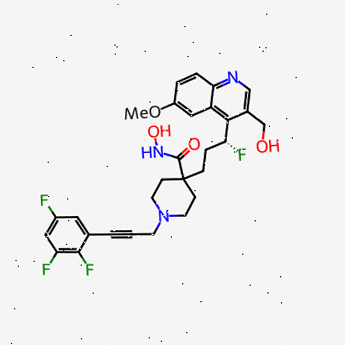 COc1ccc2ncc(CO)c([C@H](F)CCC3(C(=O)NO)CCN(CC#Cc4cc(F)cc(F)c4F)CC3)c2c1